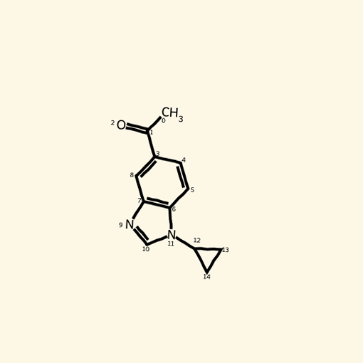 CC(=O)c1ccc2c(c1)ncn2C1CC1